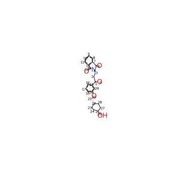 O=C(CCN1C(=O)c2ccccc2C1=O)c1cccc(OC[C@H]2CC[C@@H](O)CC2)c1